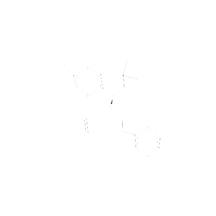 CC1(C)Oc2cc([N+](=O)[O-])ccc2[C@H](NCCc2ccccc2)[C@H]1O.O=C(O)C=CC(=O)O